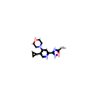 CC(C)(C)c1nc(-c2cc(N3CCOCC3)c(C3CC3)cn2)no1